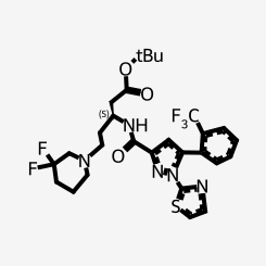 CC(C)(C)OC(=O)C[C@H](CCN1CCCC(F)(F)C1)NC(=O)c1cc(-c2ccccc2C(F)(F)F)n(-c2nccs2)n1